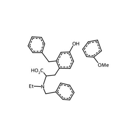 CCN(Cc1ccccc1)C(Cc1ccc(O)cc1Cc1ccccc1)C(=O)O.COc1ccccc1